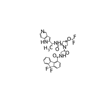 CC(NC(=O)[C@@H]1C[C@@H](OC(F)F)CN1C(=O)CNC(=O)c1cccc2c1-c1ccccc1C2(F)F)c1cc2cnccc2[nH]1